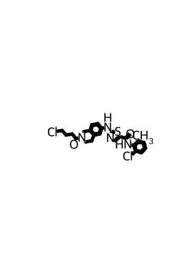 Cc1cccc(Cl)c1NC(=O)c1cnc(Nc2ccc3c(c2)CCN(C(=O)CCCCl)C3)s1